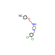 N#Cc1ccc(OCCCNC2CCN(Cc3ccc(Cl)c(Cl)c3)CC2)cc1